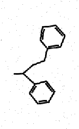 CC(CCc1cc[c]cc1)c1ccccc1